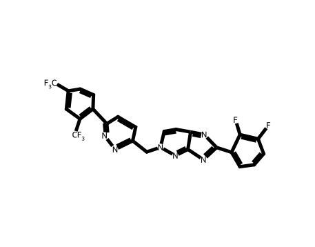 Fc1cccc(-c2nc3ccn(Cc4ccc(-c5ccc(C(F)(F)F)cc5C(F)(F)F)nn4)nc-3n2)c1F